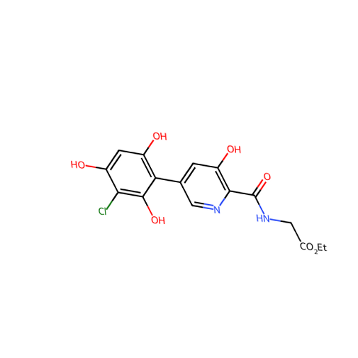 CCOC(=O)CNC(=O)c1ncc(-c2c(O)cc(O)c(Cl)c2O)cc1O